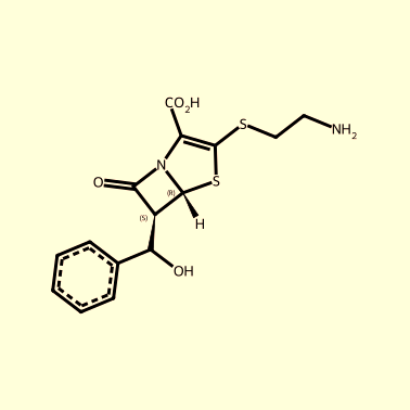 NCCSC1=C(C(=O)O)N2C(=O)[C@H](C(O)c3ccccc3)[C@H]2S1